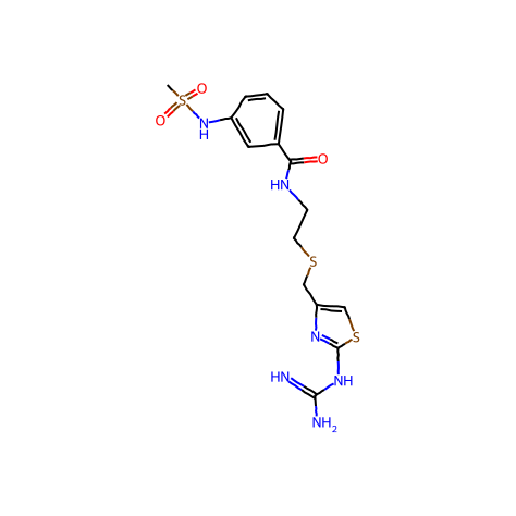 CS(=O)(=O)Nc1cccc(C(=O)NCCSCc2csc(NC(=N)N)n2)c1